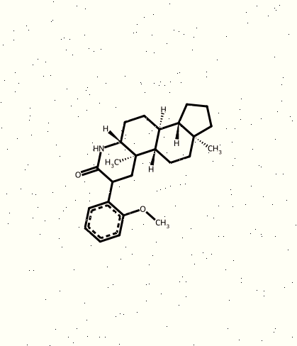 COc1ccccc1C1C[C@@]2(C)[C@@H](CC[C@H]3[C@@H]4CCC[C@@]4(C)CC[C@@H]32)NC1=O